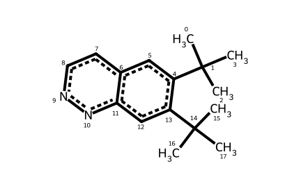 CC(C)(C)c1cc2ccnnc2cc1C(C)(C)C